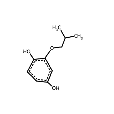 CC(C)COc1cc(O)ccc1O